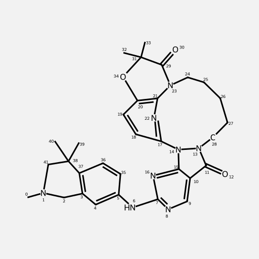 CN1Cc2cc(Nc3ncc4c(=O)n5n(c4n3)-c3ccc4c(n3)N(CCCCC5)C(=O)C(C)(C)O4)ccc2C(C)(C)C1